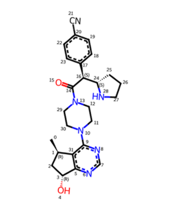 C[C@@H]1C[C@@H](O)c2ncnc(N3CCN(C(=O)[C@@H](c4ccc(C#N)cc4)[C@@H]4CCCN4)CC3)c21